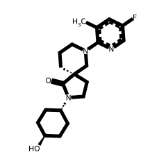 Cc1cc(F)cnc1N1CCC[C@@]2(CCN([C@H]3CC[C@H](O)CC3)C2=O)C1